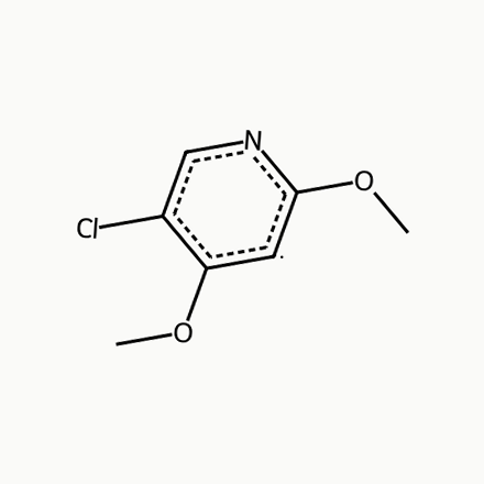 COc1[c]c(OC)c(Cl)cn1